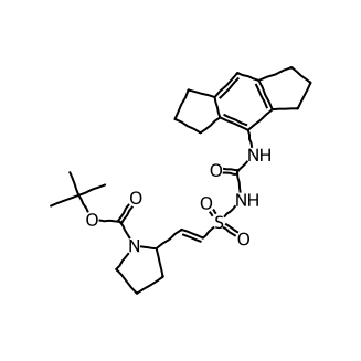 CC(C)(C)OC(=O)N1CCCC1C=CS(=O)(=O)NC(=O)Nc1c2c(cc3c1CCC3)CCC2